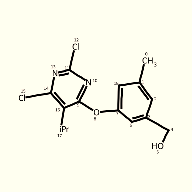 Cc1cc(CO)cc(Oc2nc(Cl)nc(Cl)c2C(C)C)c1